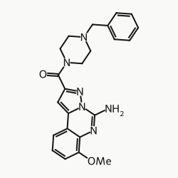 COc1cccc2c1nc(N)n1nc(C(=O)N3CCN(Cc4ccccc4)CC3)cc21